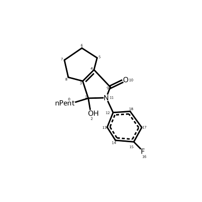 CCCCCC1(O)C2=C(CCCC2)C(=O)N1c1ccc(F)cc1